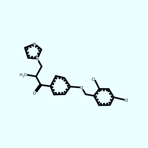 CC(Cn1ccnc1)C(=O)c1ccc(OCc2ccc(Cl)cc2Cl)cc1